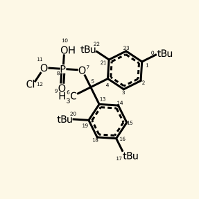 CC(C)(C)c1ccc(C(C)(OP(=O)(O)OCl)c2ccc(C(C)(C)C)cc2C(C)(C)C)c(C(C)(C)C)c1